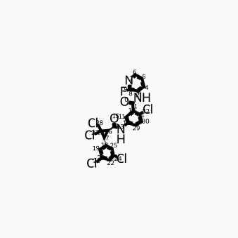 O=C(Nc1cccnc1F)c1cc(NC(=O)[C@H]2[C@H](c3cc(Cl)cc(Cl)c3)C2(Cl)Cl)ccc1Cl